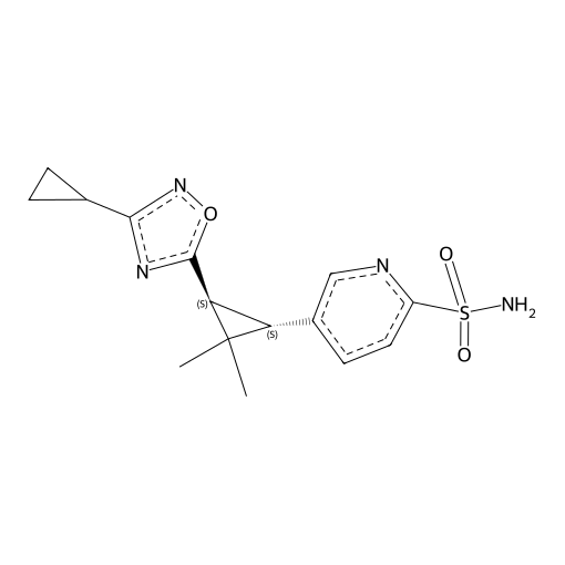 CC1(C)[C@@H](c2ccc(S(N)(=O)=O)nc2)[C@@H]1c1nc(C2CC2)no1